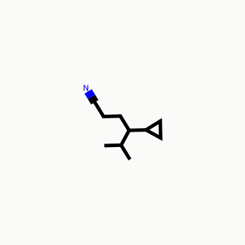 CC(C)C(CCC#N)C1CC1